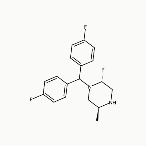 C[C@@H]1CN[C@@H](C)CN1C(c1ccc(F)cc1)c1ccc(F)cc1